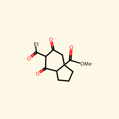 CCC(=O)C1C(=O)CC2(C(=O)OC)CCCC2C1=O